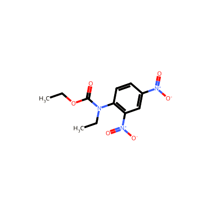 CCOC(=O)N(CC)c1ccc([N+](=O)[O-])cc1[N+](=O)[O-]